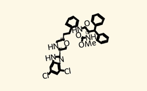 COC(=O)N[C@H](C(=O)Nc1ccccc1CC[C@@H]1CN[C@H](c2nc3c(Cl)cc(Cl)cc3[nH]2)CO1)C(c1ccccc1)c1ccccc1